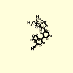 CC(C)(C)[S@@+]([O-])N[C@@H](CF)c1cccc(-c2ccc(C#N)c3cocc23)c1